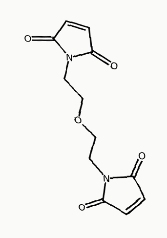 O=C1C=CC(=O)N1CCOCCN1C(=O)C=CC1=O